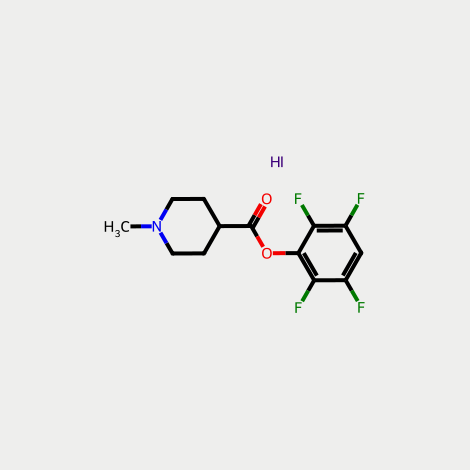 CN1CCC(C(=O)Oc2c(F)c(F)cc(F)c2F)CC1.I